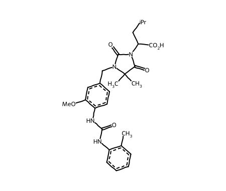 COc1cc(CN2C(=O)N(C(CC(C)C)C(=O)O)C(=O)C2(C)C)ccc1NC(=O)Nc1ccccc1C